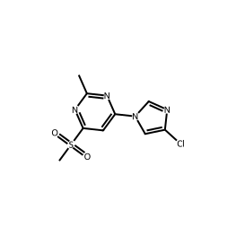 Cc1nc(-n2cnc(Cl)c2)cc(S(C)(=O)=O)n1